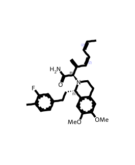 C=C(/C=C\C=C/C)[C@H](C(N)=O)N1CCc2cc(OC)c(OC)cc2[C@@H]1CCc1ccc(C)c(F)c1